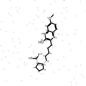 COc1ccc2nc(CCCCC[C@@H]3CCC[C@@H]3C(F)F)c(O)nc2c1